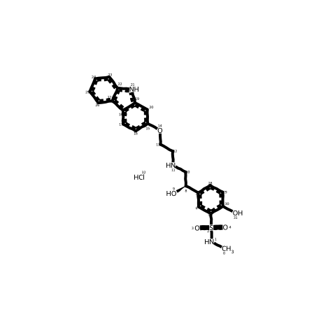 CNS(=O)(=O)c1cc([C@@H](O)CNCCOc2ccc3c(c2)[nH]c2ccccc23)ccc1O.Cl